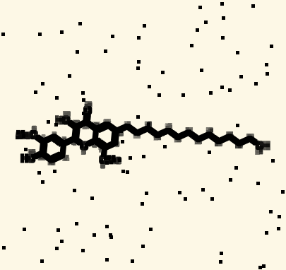 COc1cc(-c2oc3c(OC)cc(CCCCCCCCCCCCCO)cc3c(=O)c2O)ccc1O